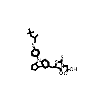 CC(CSc1ccc(N2c3ccc(/C=C4\SC(=S)N(CC(=O)O)C4=O)cc3C3CCCC32)cc1)CC(C)(C)C